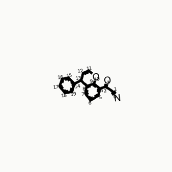 N#CC(=O)c1cccc2c1OC=CC2c1ccccc1